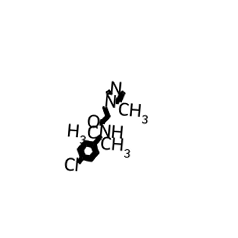 Cc1cncn1CCC(=O)NC(C)(C)c1ccc(Cl)cc1